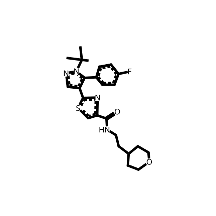 CC(C)(C)n1ncc(-c2nc(C(=O)NCCC3CCOCC3)cs2)c1-c1ccc(F)cc1